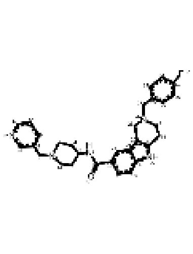 O=C(NC1CCN(Cc2cccnc2)CC1)c1ccc2[nH]c3c(c2c1)CN(Cc1ccc(F)cc1)CC3